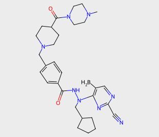 Bc1cnc(C#N)nc1N(CC1CCCC1)NC(=O)c1ccc(CN2CCC(C(=O)N3CCN(C)CC3)CC2)cc1